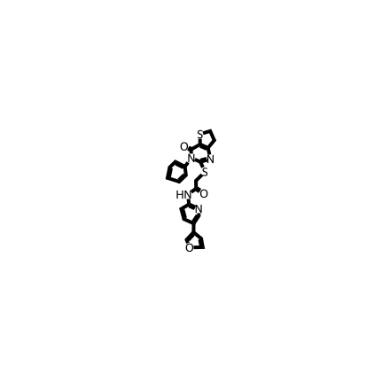 O=C(CSc1nc2c(c(=O)n1-c1ccccc1)SCC2)Nc1ccc(-c2ccoc2)cn1